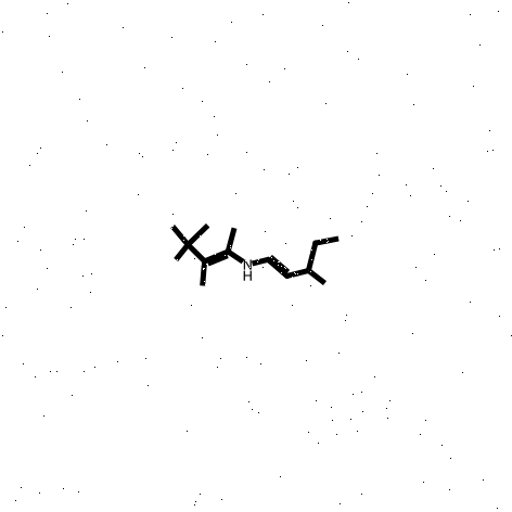 CCC(C)/C=C/N/C(C)=C(\C)C(C)(C)C